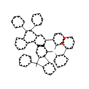 CC1(c2ccccc2)c2ccccc2-c2c(N(c3ccccc3-c3ccccc3)c3ccccc3-c3ccc4c(c3)c(-c3ccccc3)c(-c3ccccc3)c3ccccc34)cccc21